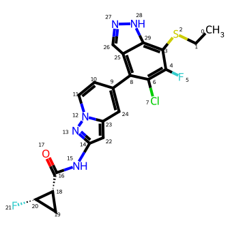 CCSc1c(F)c(Cl)c(-c2ccn3nc(NC(=O)[C@@H]4C[C@@H]4F)cc3c2)c2cn[nH]c12